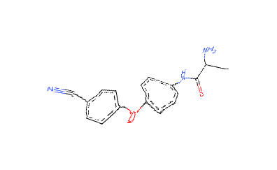 CC(N)C(=O)Nc1ccc(Oc2ccc(C#N)cc2)cc1